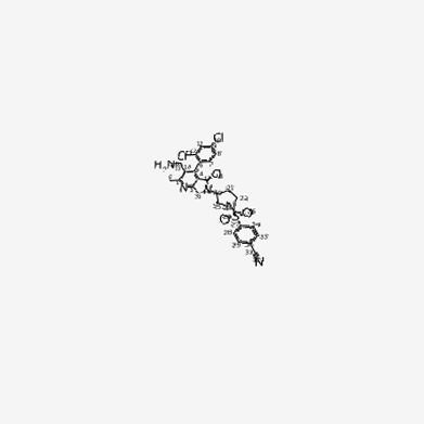 Cc1nc2c(c(-c3ccc(Cl)cc3Cl)c1CN)C(=O)N([C@H]1CCN(S(=O)(=O)c3ccc(C#N)cc3)C1)C2